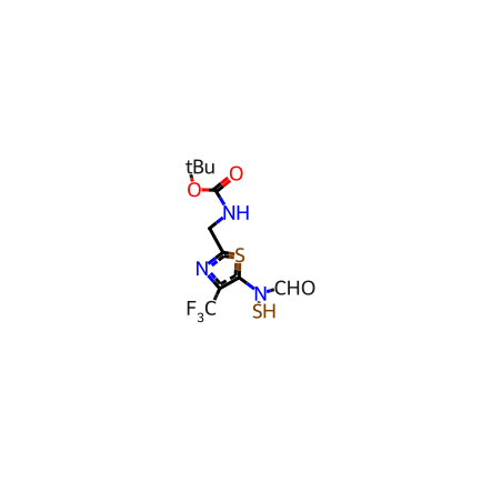 CC(C)(C)OC(=O)NCc1nc(C(F)(F)F)c(N(S)C=O)s1